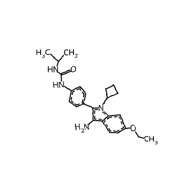 CCOc1ccc2c(N)c(-c3ccc(NC(=O)NC(C)C)cc3)n(C3CCC3)c2c1